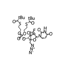 CC(C)(C)C(=O)SCCOP(=O)(OCCSC(=O)C(C)(C)C)OC1[C@@]2(CN=[N+]=[N-])O[C@@H](n3ccc(=O)[nH]c3=O)[C@H](F)[C@@]12O